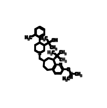 Cc1ccccc1C1CCN(C[C@@H]2CCc3ccc(O[SiH](C)C)nc3[C@H](C(C)(C)C)C2)CC1C(C)(C)O